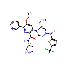 CCOc1cc(N2CCN(C(=O)c3ccc(C(F)(F)F)s3)C[C@H]2CC)c(C(=O)N[C@@H]2CCNC2)nc1-c1cccnc1